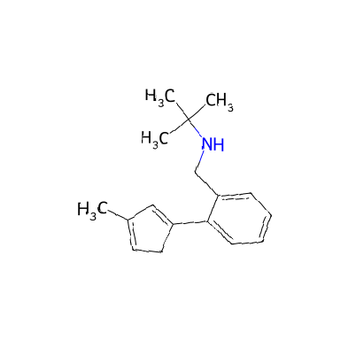 CC1=CCC(c2ccccc2CNC(C)(C)C)=C1